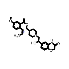 C=C(OCC1CCN(CC(O)c2ccc3c(c2)NC(=O)CO3)CC1)c1cc(OC)ccc1/C=C\N